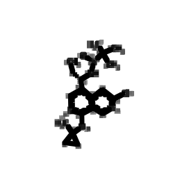 CC[C@H](N[S@@+]([O-])C(C)(C)C)c1cnc(OC2(C)CC2)c2cnc(Cl)cc12